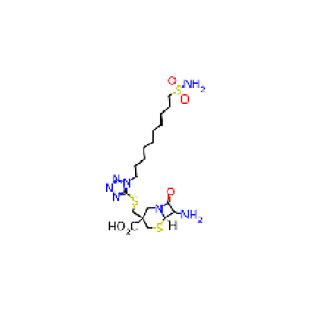 NC1C(=O)N2CC(CSc3nnnn3CCCCCCCCCCS(N)(=O)=O)(C(=O)O)CS[C@H]12